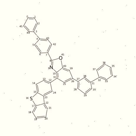 c1ccc(-c2ccc(-c3nc4c(-c5ccc6sc7ccccc7c6c5)cc(-c5cccc(-c6ccccc6)c5)cc4o3)cc2)cc1